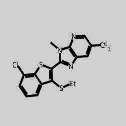 CCSc1c(-c2nc3cc(C(F)(F)F)cnc3n2C)sc2c(Cl)cccc12